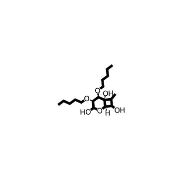 CCCCCO[C@@H]1[C@@H](OCCCCC)C(O)O[C@@H]2C(O)C(C)[C@@]21O